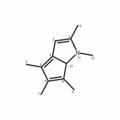 CC1=[C]C2=C(C)C(C)=C(C)C2N1C